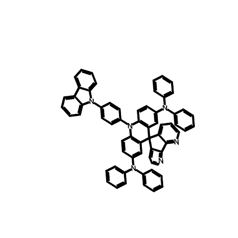 c1ccc(N(c2ccccc2)c2ccc3c(c2)C2(c4cc(N(c5ccccc5)c5ccccc5)ccc4N3c3ccc(-n4c5ccccc5c5ccccc54)cc3)c3cccnc3-c3ncccc32)cc1